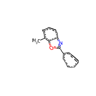 Cc1cccc2nc(-c3ccccc3)oc12